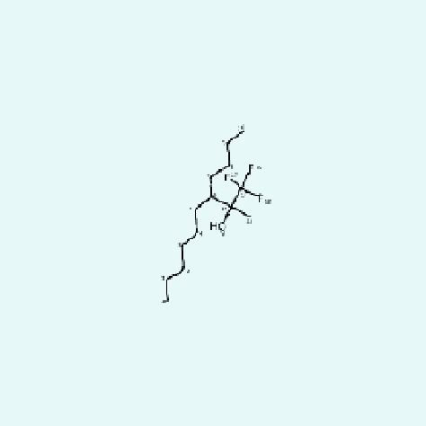 CCCCCCC(CCCC)C(C)(O)C(F)(F)F